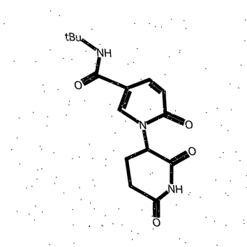 CC(C)(C)NC(=O)c1ccc(=O)n(C2CCC(=O)NC2=O)c1